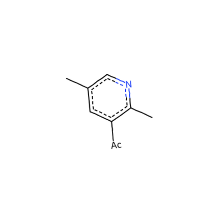 CC(=O)c1cc(C)cnc1C